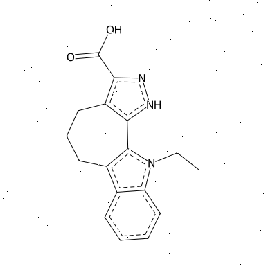 CCn1c2c(c3ccccc31)CCCc1c(C(=O)O)n[nH]c1-2